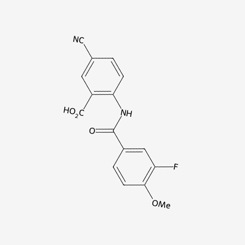 COc1ccc(C(=O)Nc2ccc(C#N)cc2C(=O)O)cc1F